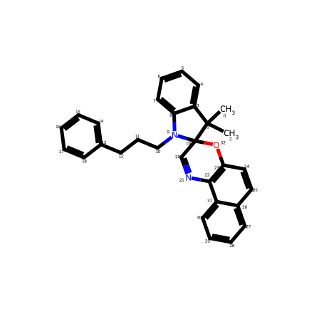 CC1(C)c2ccccc2N(CCCc2ccccc2)C12C=Nc1c(ccc3ccccc13)O2